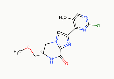 COC[C@@H]1Cn2cc(-c3nc(Cl)ncc3C)nc2C(=O)N1